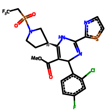 COC(=O)C1=C([C@@H]2CCN(S(=O)(=O)CC(F)(F)F)C2)NC(c2nccs2)=NC1c1ccc(F)cc1Cl